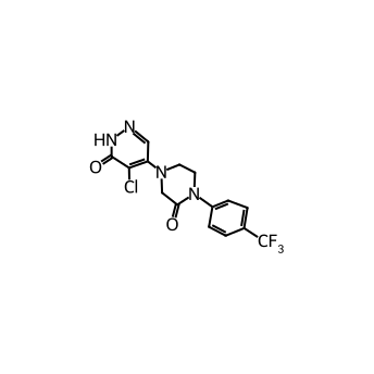 O=C1CN(c2cn[nH]c(=O)c2Cl)CCN1c1ccc(C(F)(F)F)cc1